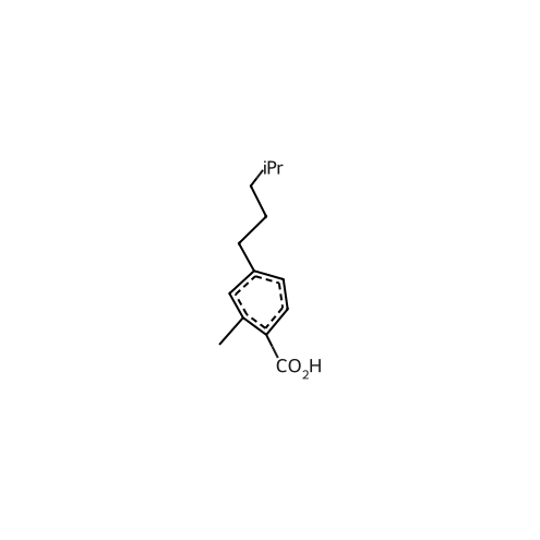 Cc1cc(CCCC(C)C)ccc1C(=O)O